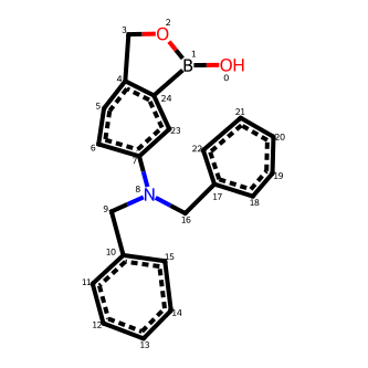 OB1OCc2ccc(N(Cc3ccccc3)Cc3ccccc3)cc21